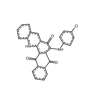 O=C1c2ccccc2C(=O)c2c1c1[nH]c3ccccc3cc-1c(=O)c2Nc1ccc(Cl)cc1